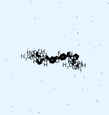 COC(=O)N[C@H](C(=O)N1CCCC1c1ncc(-c2ccc3oc(-c4ccc(-c5cnc([C@@H]6CCCN6C(=O)[C@@H](NC(=O)O)C(C)C)[nH]5)cc4F)cc3c2)[nH]1)C(C)C